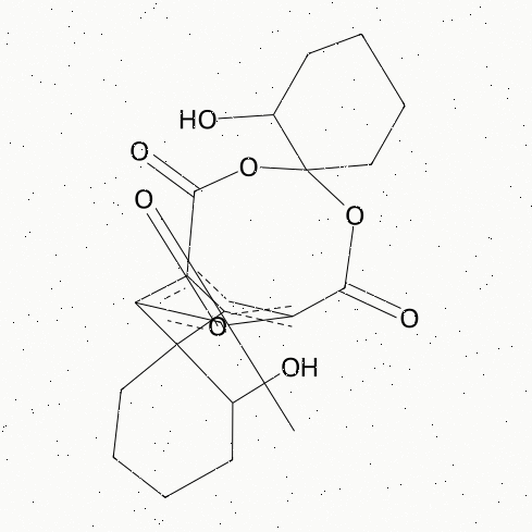 O=C1OC2(CCCCC2O)OC(=O)c2c3c1oc(=O)c2C31CCCCC1O